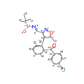 Cc1onc(C=N[S@+]([O-])C(C)(C)C)c1-c1ccccc1C(=O)c1ccc(Cl)cc1